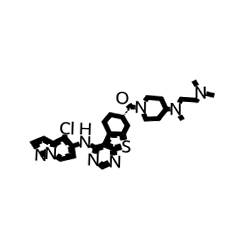 CN(C)CCN(C)C1CCN(C(=O)[C@H]2CCc3c(sc4ncnc(Nc5ccn6nccc6c5Cl)c34)C2)CC1